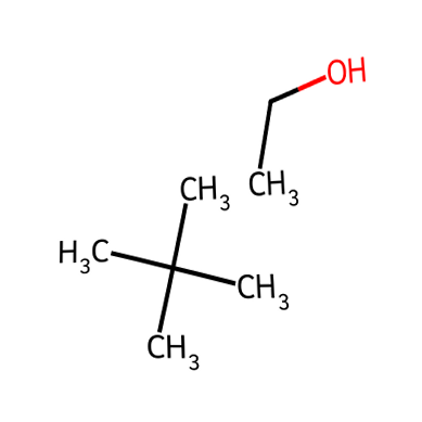 CC(C)(C)C.CCO